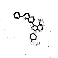 CCOC(=O)C1CCC([C@@H]2N=C(c3ccc4ccc(-c5ccccc5)nc4c3)C3C(N)=NC=NC32)CC1